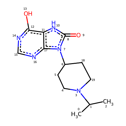 CC(C)N1CCC(n2c(=O)[nH]c3c(O)ncnc32)CC1